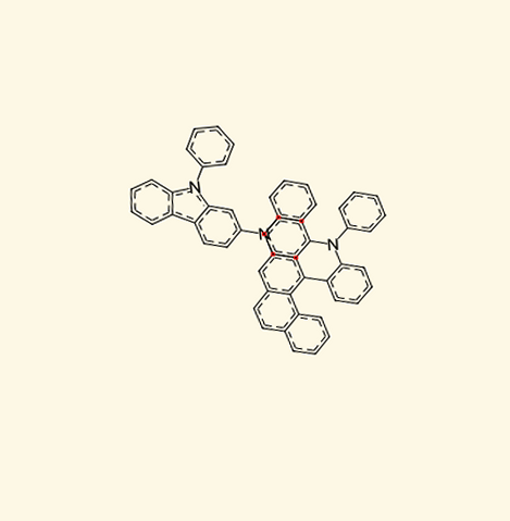 c1ccc(N(c2cc(-c3ccccc3N(c3ccccc3)c3ccccc3)c3c(ccc4ccccc43)c2)c2ccc3c4ccccc4n(-c4ccccc4)c3c2)cc1